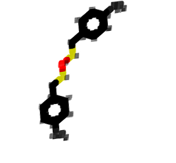 O=[N+]([O-])c1ccc(CSOSCc2ccc([N+](=O)[O-])cc2)cc1